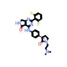 CN(C)CCN1CC[C@H](c2ccc(Nc3nc(-c4c(F)cccc4F)nc4c3C(=O)NC4)cc2)C1=O